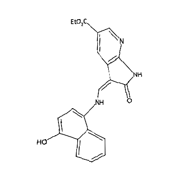 CCOC(=O)c1cnc2c(c1)C(=CNc1ccc(O)c3ccccc13)C(=O)N2